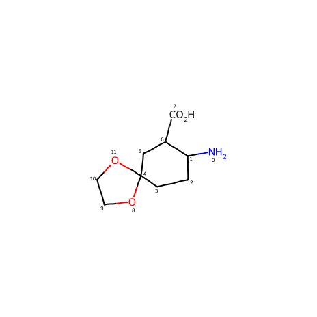 NC1CCC2(CC1C(=O)O)OCCO2